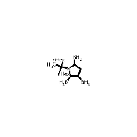 BC1CC(B)N(C(C)(CCCCCC)CCCCCC)C1B